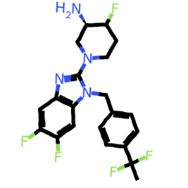 CC(F)(F)c1ccc(Cn2c(N3CCC(F)[C@H](N)C3)nc3cc(F)c(F)cc32)cc1